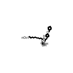 CCCCCCCCC=CCCCCCCCC(=O)NC(COP(=O)(O)O)Cc1ccc(OCc2ccccc2)cc1